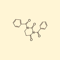 O=C(c1ccccc1)N1CCC(=O)N(C(=O)c2ccccc2)C1=O